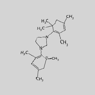 CC1=CC(C)=C(N2CCN(C3=C(C)C=C(C)CC3(C)C)C2)[C@@H](C)C1